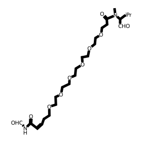 CC(C)C(C=O)N(C)C(=O)CCOCCOCCOCCOCCOCCOCC/C=C\C(=O)NC=O